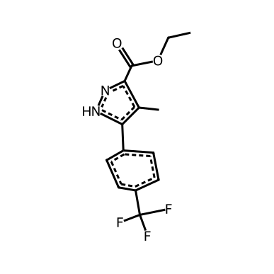 CCOC(=O)c1n[nH]c(-c2ccc(C(F)(F)F)cc2)c1C